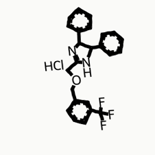 Cl.FC(F)(F)c1cccc(COCC2=NC(c3ccccc3)C(c3ccccc3)N2)c1